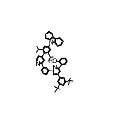 CC(C)c1cc(-n2c3ccccc3c3ccccc32)cc(C(C)C)c1-c1ccnc(-c2cccc(-c3cc(-c4cc(C(C)(C)C)cc(C(C)(C)C)c4)cc(-c4ccccc4O)n3)c2)c1